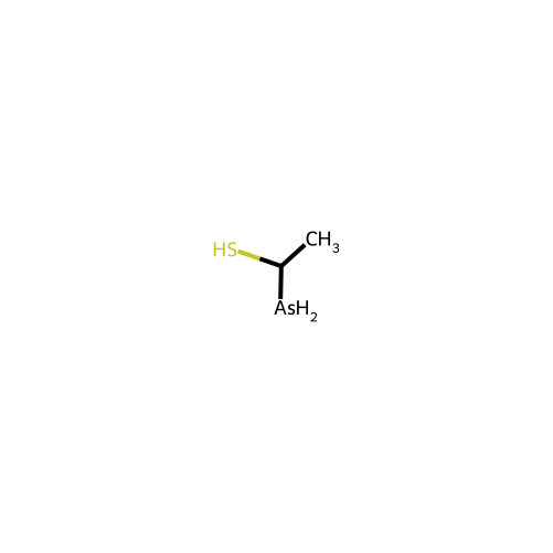 CC(S)[AsH2]